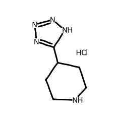 C1CC(c2nnn[nH]2)CCN1.Cl